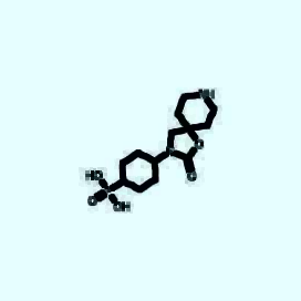 O=C1OC2(CCNCC2)CN1C1CCC(P(=O)(O)O)CC1